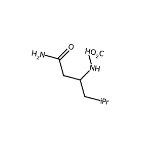 CC(C)CC(CC(N)=O)NC(=O)O